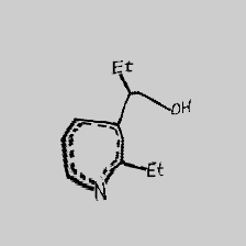 CCc1ncccc1C(O)CC